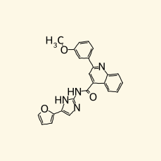 COc1cccc(-c2cc(C(=O)Nc3ncc(-c4ccco4)[nH]3)c3ccccc3n2)c1